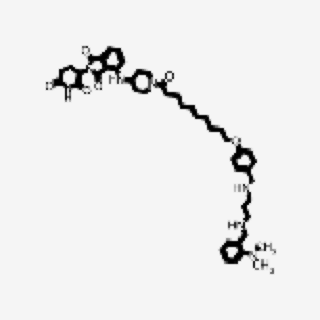 CN(C)c1ccccc1CNCCCNCc1ccc(OCCCCCCCCCC(=O)N2CCC(Nc3cccc4c3C(=O)N(C3CCC(=O)NC3=O)C4=O)CC2)cc1